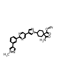 CC(C)OC(=O)C1(C(N)=O)CCC(n2cc(-c3cnc(-c4cccc(-c5cnn(C)c5)c4)nc3)cn2)CC1